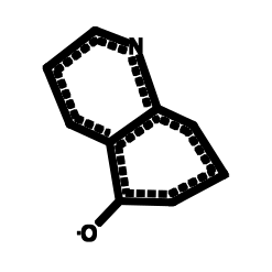 [O]c1cccc2ncccc12